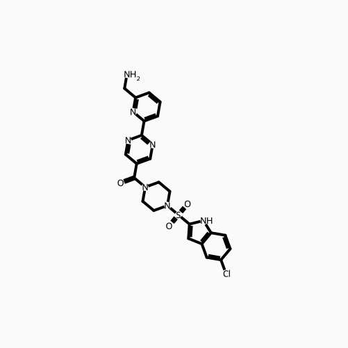 NCc1cccc(-c2ncc(C(=O)N3CCN(S(=O)(=O)c4cc5cc(Cl)ccc5[nH]4)CC3)cn2)n1